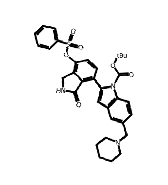 CC(C)(C)OC(=O)n1c(-c2ccc(OS(=O)(=O)c3ccccc3)c3c2C(=O)NC3)cc2cc(CN3CCCCC3)ccc21